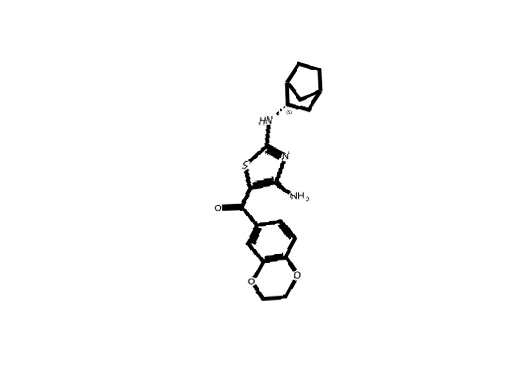 Nc1nc(N[C@H]2CC3CCC2C3)sc1C(=O)c1ccc2c(c1)OCCO2